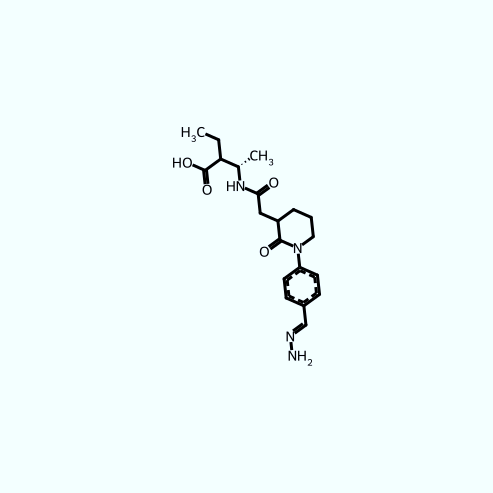 CCC(C(=O)O)[C@H](C)NC(=O)CC1CCCN(c2ccc(C=NN)cc2)C1=O